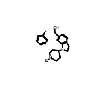 CCN1CCC(N2CCc3ccc(CO)cc32)CC1.Fc1ccccc1